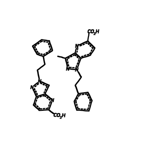 Cc1nn(CCc2ccccc2)c2ccc(C(=O)O)nc12.O=C(O)c1ccc2nn(CCc3ccccc3)cc2n1